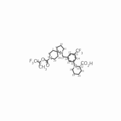 CC(OC(=O)N1CCC2(CCCN2Cc2cc(N3CCCC[C@H]3C(=O)O)cc(C(F)(F)F)c2)CC1)C(F)(F)F